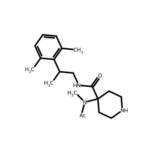 CC(=O)N(C)C1(C(=O)NCC(C)c2c(C)cccc2C)CCNCC1